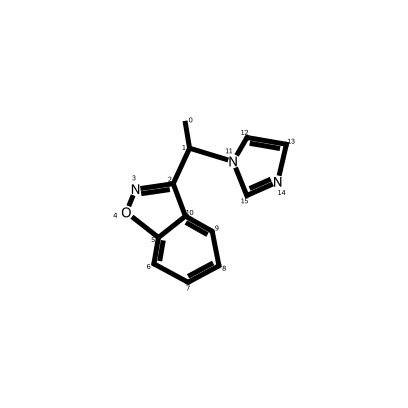 CC(c1noc2ccccc12)n1ccnc1